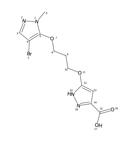 Cn1ncc(Br)c1OCCCOc1cc(C(=O)O)n[nH]1